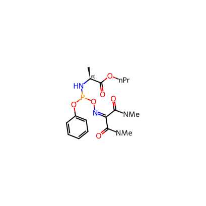 CCCOC(=O)[C@H](C)NP(ON=C(C(=O)NC)C(=O)NC)Oc1ccccc1